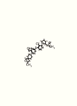 C[C@H]1CC2(CCN(c3ncc(Sc4ccnc(N5CCCC5C[S+](C)[O-])c4Cl)nc3CO)CC2)CO1